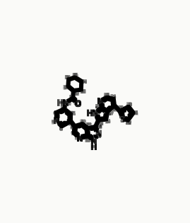 O=C(Nc1cncc(-c2cnc3[nH]nc(-c4cc5c(-c6cccs6)ccnc5[nH]4)c3c2)c1)C1CCCCC1